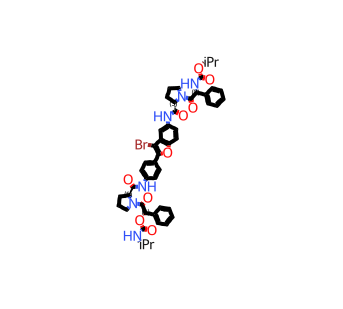 CC(C)NC(=O)O[C@@H](C(=O)N1CCC[C@H]1C(=O)Nc1ccc(-c2oc3ccc(NC(=O)[C@@H]4CCCN4C(=O)[C@H](NC(=O)OC(C)C)c4ccccc4)cc3c2Br)cc1)c1ccccc1